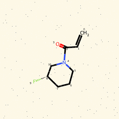 C=CC(=O)N1CCC[C@H](F)C1